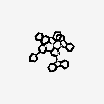 C1=Cc2c(c3ccccc3n2-c2c(-c3cc(-c4ccccc4)cc(-c4ccccc4)n3)cc(-n3c4ccccc4c4ccccc43)nc2-n2c3ccccc3c3ccccc32)CC1